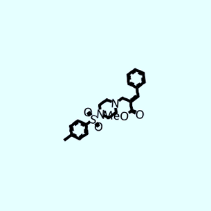 COC(=O)/C(=C/c1ccccc1)CN1CCN(S(=O)(=O)c2ccc(C)cc2)CC1